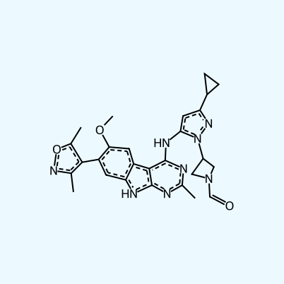 COc1cc2c(cc1-c1c(C)noc1C)[nH]c1nc(C)nc(Nc3cc(C4CC4)nn3C3CN(C=O)C3)c12